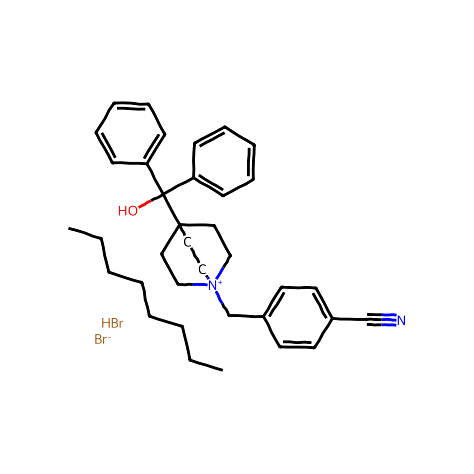 Br.CCCCCCCC.N#Cc1ccc(C[N+]23CCC(C(O)(c4ccccc4)c4ccccc4)(CC2)CC3)cc1.[Br-]